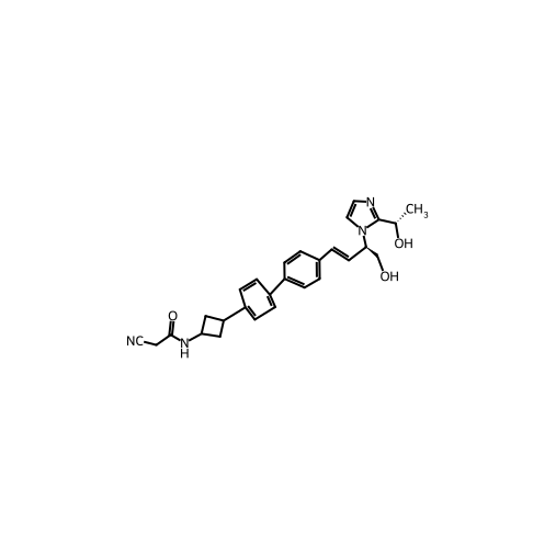 C[C@H](O)c1nccn1[C@H](/C=C/c1ccc(-c2ccc(C3CC(NC(=O)CC#N)C3)cc2)cc1)CO